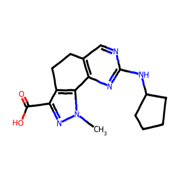 Cn1nc(C(=O)O)c2c1-c1nc(NC3CCCC3)ncc1CC2